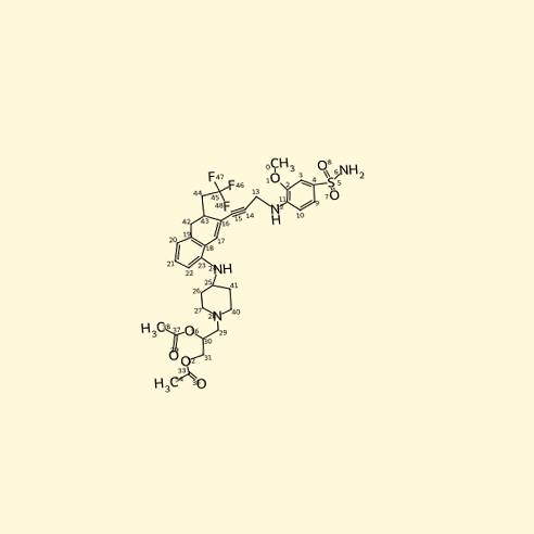 COc1cc(S(N)(=O)=O)ccc1NCC#CC1=Cc2c(cccc2NC2CCN(CC(COC(C)=O)OC(C)=O)CC2)CC1CC(F)(F)F